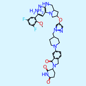 COc1c(F)cc(F)cc1/C(N)=C/C1=C(N)NCC2CC(Oc3cnn(CC4CCN(c5ccc6c(c5)C(=O)N(C5CCC(=O)NC5=O)C6)CC4)c3)CN12